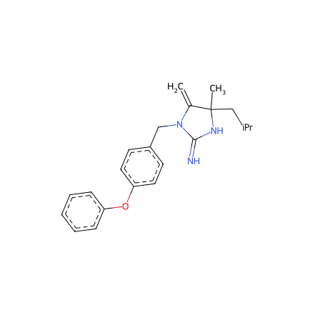 C=C1N(Cc2ccc(Oc3ccccc3)cc2)C(=N)NC1(C)CC(C)C